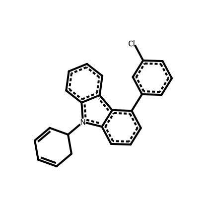 Clc1cccc(-c2cccc3c2c2ccccc2n3C2C=CC=CC2)c1